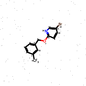 FC(F)(F)c1cccc(COc2ccc(Br)cn2)c1